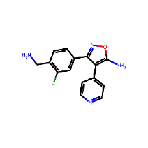 NCc1ccc(-c2noc(N)c2-c2ccncc2)cc1F